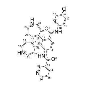 O=C(Nc1ccc(C(=O)Nc2ccc(Cl)cn2)c(C2=CC=CNC=C2)c1C1=CC=CNC=C1)c1cccnc1